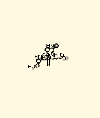 COc1ccc2[nH]c(C)c(CC(=O)N[C@@H](CCCCCC(=O)O)C(=O)NCCc3c(-c4ccccc4)[nH]c4ccccc34)c2c1